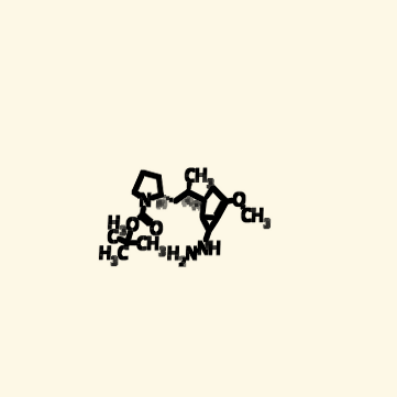 COC1=C2C(NN)C2[C@@H]([C@H](C)C[C@H]2CCCN2C(=O)OC(C)(C)C)C1